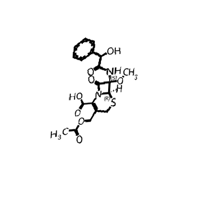 CO[C@@]1(NC(=O)C(O)c2ccccc2)C(=O)N2C(C(=O)O)=C(COC(C)=O)CS[C@@H]21